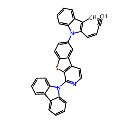 C#C/C=C\c1c(C)c2ccccc2n1-c1ccc2sc3c(-n4c5ccccc5c5ccccc54)nccc3c2c1